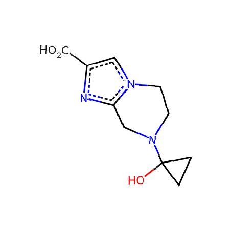 O=C(O)c1cn2c(n1)CN(C1(O)CC1)CC2